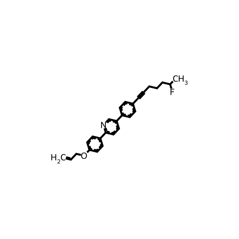 C=CCOc1ccc(-c2ccc(-c3ccc(C#CCCCC(C)F)cc3)cn2)cc1